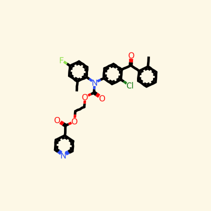 Cc1ccccc1C(=O)c1ccc(N(C(=O)OCCOC(=O)c2ccncc2)c2ccc(F)cc2C)cc1Cl